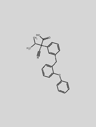 CC(C)C(C#N)(C(=O)O)c1cccc(Cc2ccccc2Oc2ccccc2)c1